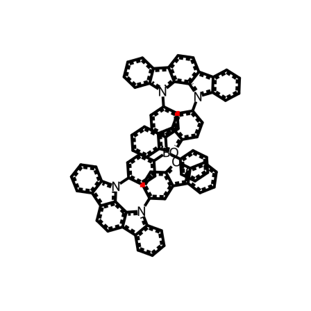 c1ccc(B(c2ccc(-n3c4ccccc4c4ccc5c6ccccc6n(-c6ccc7oc8ccccc8c7c6)c5c43)cc2)c2ccc(-n3c4ccccc4c4ccc5c6ccccc6n(-c6ccc7oc8ccccc8c7c6)c5c43)cc2)cc1